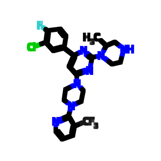 CC1CNCCN1c1nc(-c2ccc(F)c(Cl)c2)cc(N2CCN(c3ncccc3C(F)(F)F)CC2)n1